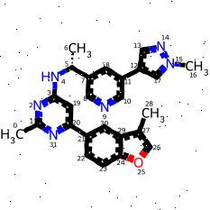 Cc1nc(N[C@H](C)c2cncc(-c3cnn(C)c3)c2)cc(-c2ccc3occ(C)c3c2)n1